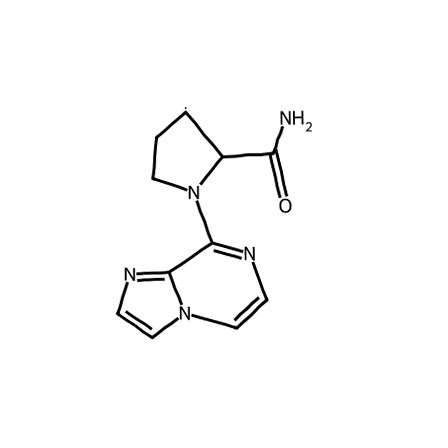 NC(=O)C1[CH]CCN1c1nccn2ccnc12